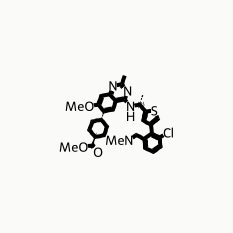 CNCc1cccc(Cl)c1-c1csc([C@@H](C)Nc2nc(C)nc3cc(OC)c([C@H]4CC[C@H](C(=O)OC)CC4)cc23)c1